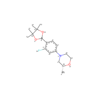 CC(C)[C@@H]1CN(c2ccc(B3OC(C)(C)C(C)(C)O3)c(F)c2)CCO1